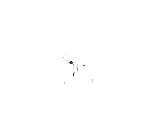 O=[N+]([O-])O.[Ce].[La]